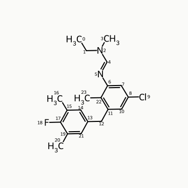 CCN(C)C=Nc1cc(Cl)cc(Cc2cc(C)c(F)c(C)c2)c1C